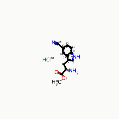 COC(=O)[C@@H](N)Cc1c[nH]c2ccc(C#N)cc12.Cl